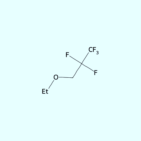 CCOCC(F)(F)C(F)(F)F